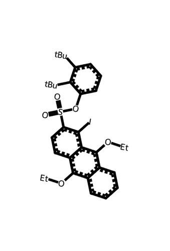 CCOc1c2ccccc2c(OCC)c2c(I)c(S(=O)(=O)Oc3cccc(C(C)(C)C)c3C(C)(C)C)ccc12